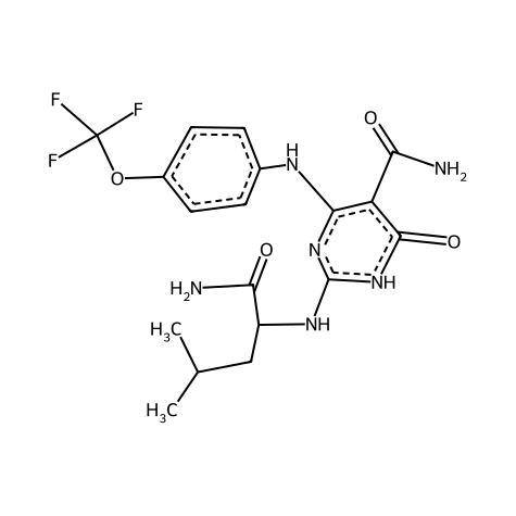 CC(C)CC(Nc1nc(Nc2ccc(OC(F)(F)F)cc2)c(C(N)=O)c(=O)[nH]1)C(N)=O